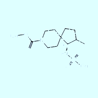 CC1CCC2(CCN(C(=O)OC(C)(C)C)CC2)[C@@H]1NS(=O)(=O)C(C)(C)C